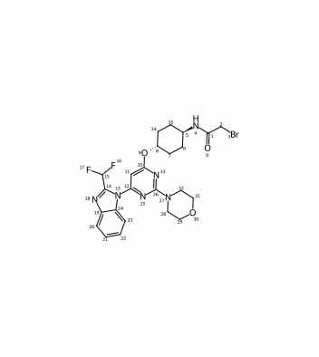 O=C(CBr)N[C@H]1CC[C@H](Oc2cc(-n3c(C(F)F)nc4ccccc43)nc(N3CCOCC3)n2)CC1